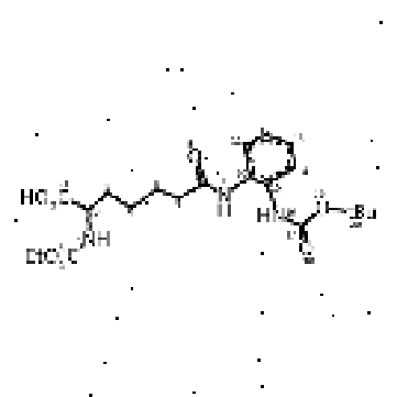 CCOC(=O)NC(CCCCC(=O)Nc1ccccc1NC(=O)OC(C)(C)C)C(=O)O